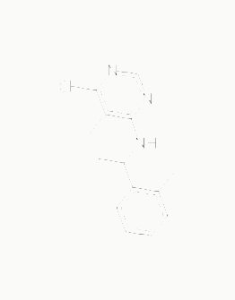 Cc1ccccc1C(C)Nc1ncnc(Cl)c1C